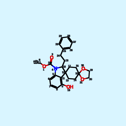 CC(C)(C)OC(=O)N1c2cccc(O)c2C2(CCC3(CC2)OCCO3)C1CCc1ccccc1